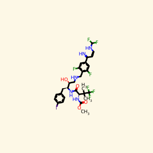 COC(=O)N[C@H](C(=O)N[C@@H](Cc1ccc(I)cc1)[C@@H](O)CNCc1c(F)cc(C(=N)/C=C\NC(F)F)cc1F)C(C)(C)C(F)(F)F